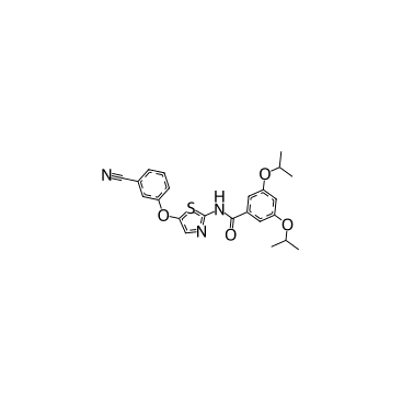 CC(C)Oc1cc(OC(C)C)cc(C(=O)Nc2ncc(Oc3cccc(C#N)c3)s2)c1